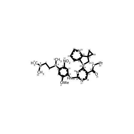 COc1cc(N(C)CCN(C)C)c([N+](=O)[O-])cc1Nc1ncc(C(=O)OC(C)C)c(N2CC3(CC3)c3ncccc32)n1